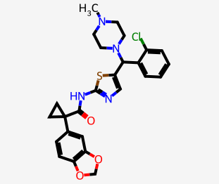 CN1CCN(C(c2cnc(NC(=O)C3(c4ccc5c(c4)OCO5)CC3)s2)c2ccccc2Cl)CC1